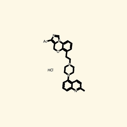 CC(=O)c1ncn2c1COc1c(CCN3CCN(c4cccc5nc(C)ccc45)CC3)cccc1-2.Cl